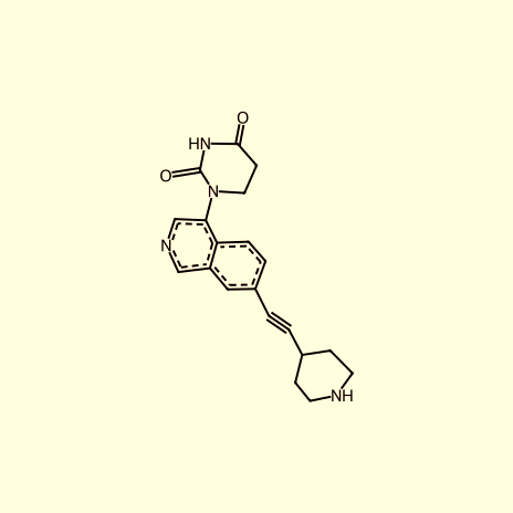 O=C1CCN(c2cncc3cc(C#CC4CCNCC4)ccc23)C(=O)N1